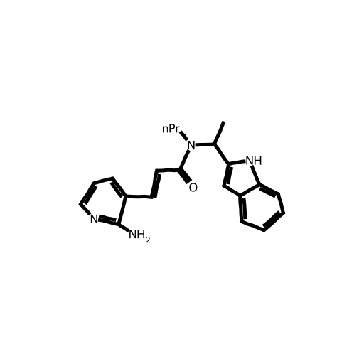 CCCN(C(=O)/C=C/c1cccnc1N)C(C)c1cc2ccccc2[nH]1